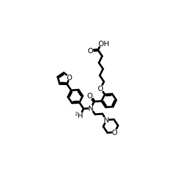 [2H]C(c1ccc(-c2ccco2)cc1)N(CCN1CCOCC1)C(=O)c1ccccc1OCCCCCC(=O)O